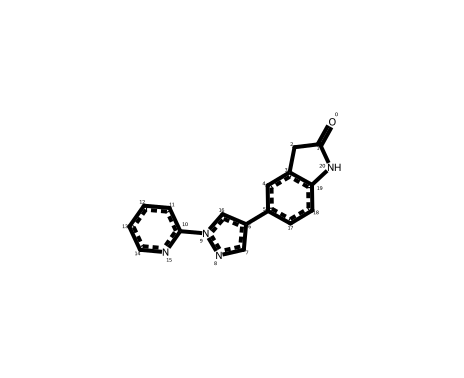 O=C1Cc2cc(-c3cnn(-c4ccccn4)c3)ccc2N1